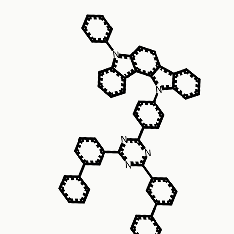 c1ccc(-c2cccc(-c3nc(-c4ccc(-n5c6ccccc6c6ccc7c(c8ccccc8n7-c7ccccc7)c65)cc4)nc(-c4cccc(-c5ccccc5)c4)n3)c2)cc1